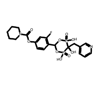 O=C(Oc1ccc(C2OP(=O)(O)C(O)(Cc3cccnc3)P(=O)(O)O2)c(F)c1)N1CCCCC1